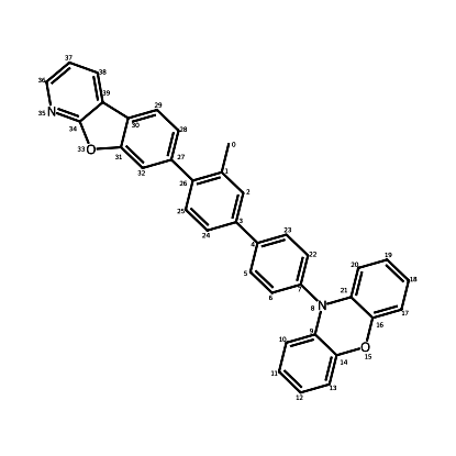 Cc1cc(-c2ccc(N3c4ccccc4Oc4ccccc43)cc2)ccc1-c1ccc2c(c1)oc1ncccc12